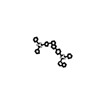 C1=Cc2ccccc2C(c2nc(-c3ccccc3)nc(-c3ccc(-c4ccc5c(-c6ccc(-c7nc(-c8ccccc8)nc(-c8ccccc8)n7)cc6)cccc5c4)cc3)n2)C1